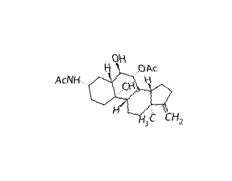 C=C1CC[C@H]2C3[C@@H](OC(C)=O)[C@H](O)[C@H]4C[C@@H](NC(C)=O)CC[C@]4(C)[C@H]3CC[C@]12C